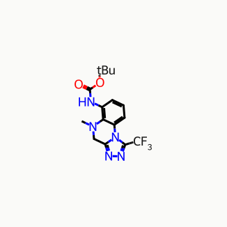 CN1Cc2nnc(C(F)(F)F)n2-c2cccc(NC(=O)OC(C)(C)C)c21